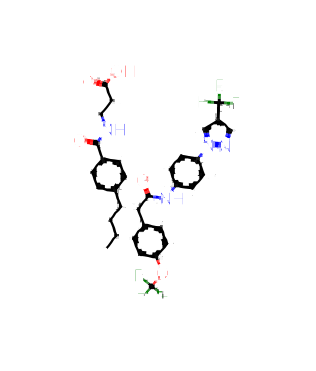 CCCC(c1ccc(C(=O)NCCC(=O)O)cc1)[C@H](C(=O)Nc1ccc(-n2cc(C(F)(F)F)cn2)cc1)c1ccc(OC(F)(F)F)cc1